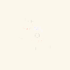 CCCCCC(=O)OC(C)[C@H](C)OC(=O)[C@@H](N)Cc1ccc(OC(=O)CCC)c(OC(=O)CCC)c1